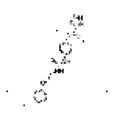 O=C(Nc1ccc(NC(=S)NCCOc2ccccc2)cc1)c1csnn1